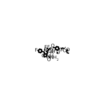 CCC(=O)O[C@H](C)COc1ccc(C(=O)NC[C@@](O)(c2cc3c(c(-c4ccc(F)cc4)n2)OC[C@@]3(C)NC(N)=O)C(F)(F)F)cc1OC